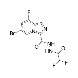 O=C(NNC(=O)C(F)F)c1ncc2c(F)cc(Br)cn12